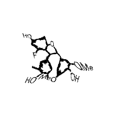 COc1cc(C2COc3cc(O)cc(F)c3C2c2cc(C)c(O)c(C)c2)cc(OC)c1O